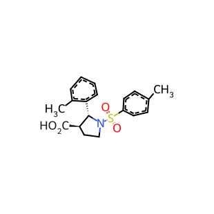 Cc1ccc(S(=O)(=O)N2CC[C@@H](C(=O)O)[C@@H]2c2ccccc2C)cc1